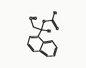 CCC(=O)OC(CC)(CC=O)c1cccc2ccccc12